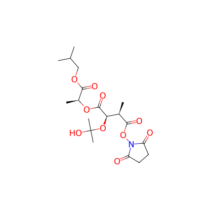 CC(C)COC(=O)[C@H](C)OC(=O)[C@H](OC(C)(C)O)[C@@H](C)C(=O)ON1C(=O)CCC1=O